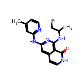 Cc1ccnc(Nc2cc3cc[nH]c(=O)c3c(NC(C)CC(C)C)n2)c1